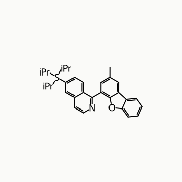 Cc1cc(-c2nccc3cc(S(C(C)C)(C(C)C)C(C)C)ccc23)c2oc3ccccc3c2c1